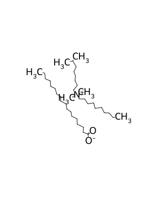 CCCCCCCCCCCCCCCCCC(=O)[O-].CCCCCCCCCC[N+](C)(C)CCCCCCC(C)C